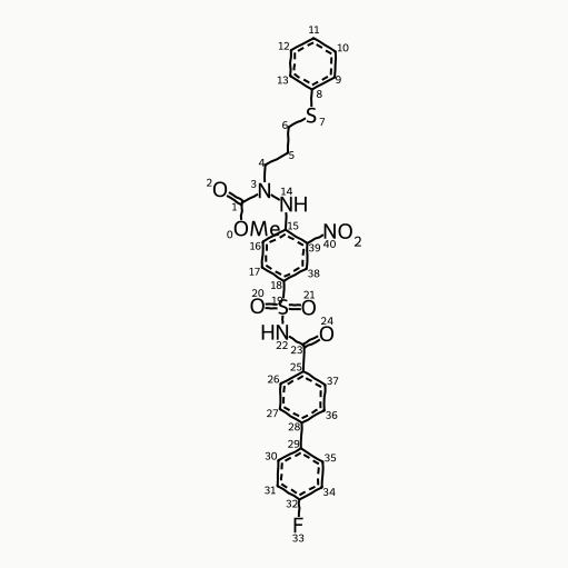 COC(=O)N(CCCSc1ccccc1)Nc1ccc(S(=O)(=O)NC(=O)c2ccc(-c3ccc(F)cc3)cc2)cc1[N+](=O)[O-]